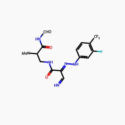 CNC(CNC(=O)/C(C=N)=N/Nc1ccc(C(F)(F)F)c(F)c1)C(=O)NC=O